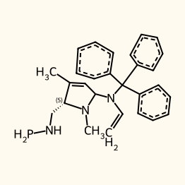 C=CN(C1C=C(C)[C@@H](CNP)N1C)C(c1ccccc1)(c1ccccc1)c1ccccc1